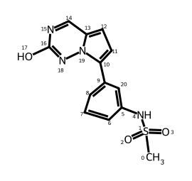 CS(=O)(=O)Nc1cccc(-c2ccc3cnc(O)nn23)c1